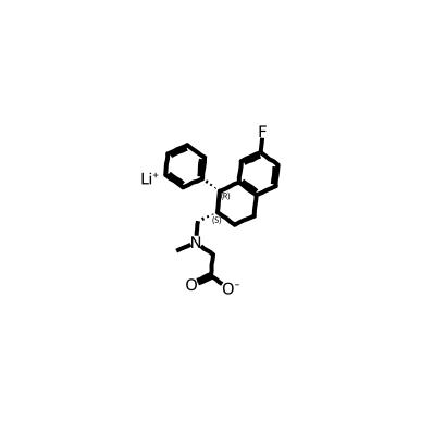 CN(CC(=O)[O-])C[C@H]1CCc2ccc(F)cc2[C@H]1c1ccccc1.[Li+]